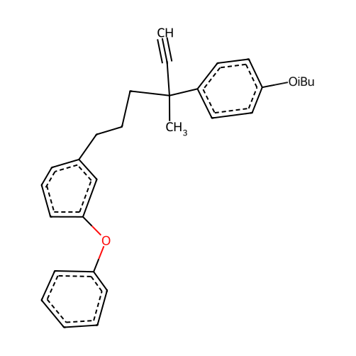 C#CC(C)(CCCc1cccc(Oc2ccccc2)c1)c1ccc(OCC(C)C)cc1